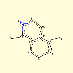 Cc1cccc2c(C)nccc12